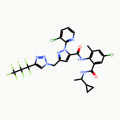 Cc1cc(Cl)cc(C(=O)NC(C)C2CC2)c1NC(=O)c1cc(Cn2cc(C(F)(F)C(F)(F)C(F)(F)F)nn2)nn1-c1ncccc1Cl